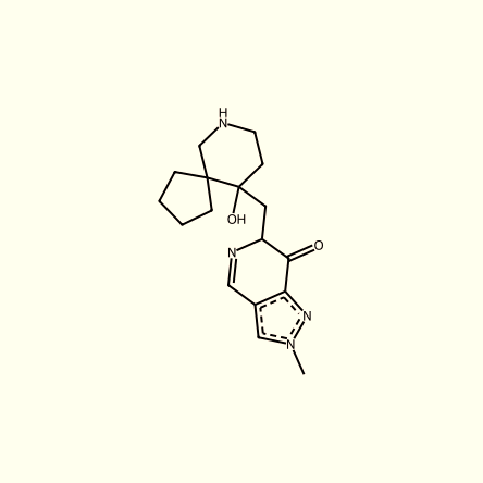 Cn1cc2c(n1)C(=O)C(CC1(O)CCNCC13CCCC3)N=C2